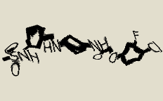 CS(=O)(=O)Nc1cccc(CNC23CC(NC(=O)COc4ccc(Cl)c(F)c4)(C2)C3)c1